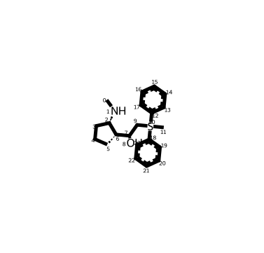 CN[C@H]1CCC[C@H]1[C@H](O)CS(C)(c1ccccc1)c1ccccc1